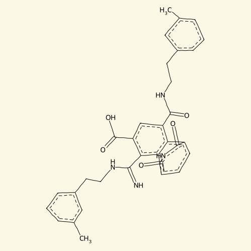 Cc1cccc(CCNC(=N)c2c(C(=O)O)cc(C(=O)NCCc3cccc(C)c3)c3c4ccc(c(=O)[nH]c4=O)c23)c1